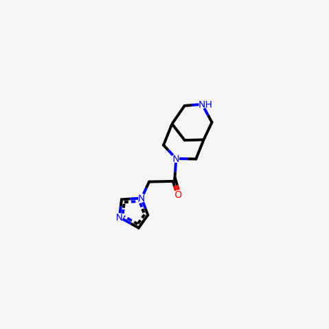 O=C(Cn1ccnc1)N1CC2CNCC(C2)C1